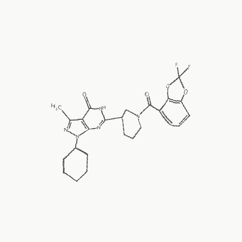 Cc1nn(C2CCCCC2)c2nc(C3CCCN(C(=O)c4cccc5c4OC(F)(F)O5)C3)[nH]c(=O)c12